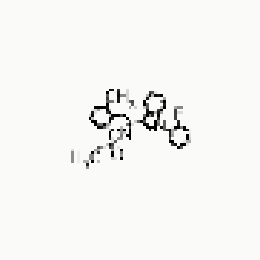 CCC(=O)O/N=C(\Cc1ccccc1C)c1cn(-c2ccccc2F)c2ccccc12